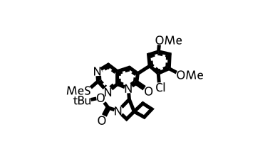 COc1cc(OC)c(Cl)c(-c2cc3cnc(SC)nc3n(C3N(C(=O)OC(C)(C)C)CC34CCC4)c2=O)c1